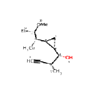 C#C[C@@H](C)[C@@H](O)[C@H]1C[C@@H]1[C@H](C)[C@H](CC)OC